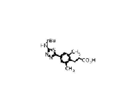 CCCCNc1nnc(-c2cc(C)c(CCC(=O)O)c(C)c2)s1